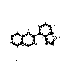 [c]1cccc2nc(-c3ccnc4occc34)ccc12